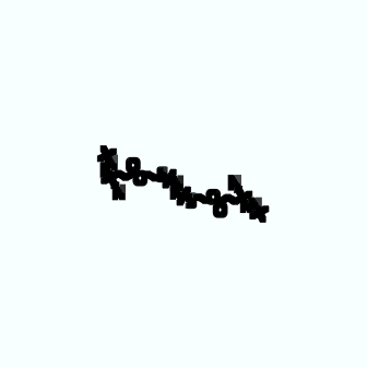 CC(C)(C)N=NC(C)(C#N)CCC(=O)OCCSC(C)(C)N=NC(C)(C)SCCOC(=O)CCC(C)(C#N)N=NC(C)(C)C